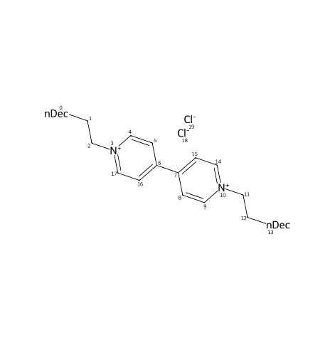 CCCCCCCCCCCC[n+]1ccc(-c2cc[n+](CCCCCCCCCCCC)cc2)cc1.[Cl-].[Cl-]